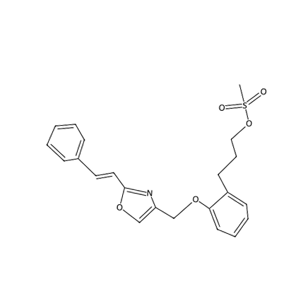 CS(=O)(=O)OCCCc1ccccc1OCc1coc(/C=C/c2ccccc2)n1